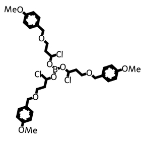 COc1ccc(COCCC(Cl)OB(OC(Cl)CCOCc2ccc(OC)cc2)OC(Cl)CCOCc2ccc(OC)cc2)cc1